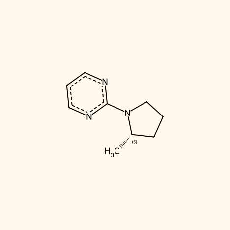 C[C@H]1CCCN1c1ncccn1